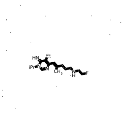 CCc1c(/C=C(\C)CCCNCCF)ncn(C(C)C)c1=N